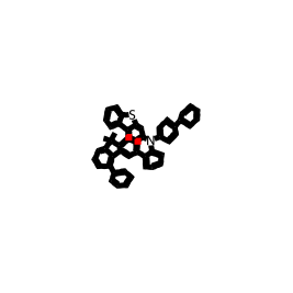 CC1(C)c2ccc(-c3ccccc3N(c3ccc(-c4ccccc4)cc3)c3ccc4c(c3)sc3ccccc34)cc2-c2c(-c3ccccc3)cccc21